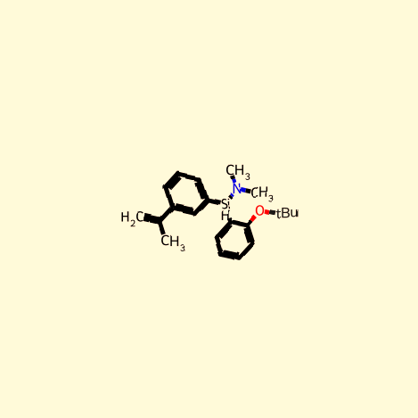 C=C(C)c1cccc([SiH](c2ccccc2OC(C)(C)C)N(C)C)c1